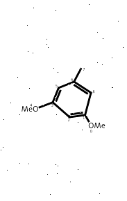 COc1[c]c(OC)cc(C)c1